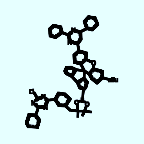 CCCCc1ccc2c(c1)Oc1cc(-c3cc(-c4ccccc4)nc(-c4ccccc4)n3)ccc1C21c2ccccc2-c2cc(B3OC(C)(C)C(C)(Cc4cccc(-c5nc(Cl)nc(-c6ccccc6)n5)c4)O3)ccc21